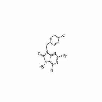 CCCc1nc(Cl)c2c(n1)n(Cc1ccc(Cl)cc1)c(=O)n2S